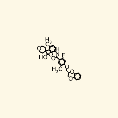 Cc1cc(C(=O)Nc2ccc(C)c(C3(C(=O)O)CCOCC3)c2)c(F)cc1OC[C@@H]1COc2ccccc2O1